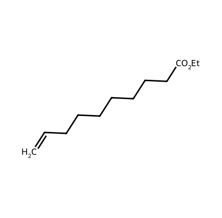 C=CCCCCCCCC(=O)OCC